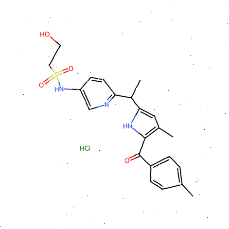 Cc1ccc(C(=O)c2[nH]c(C(C)c3ccc(NS(=O)(=O)CCO)cn3)cc2C)cc1.Cl